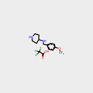 FC(F)(F)Oc1ccc(CNC2CCNCC2)cc1.O=C(O)C(F)(F)F